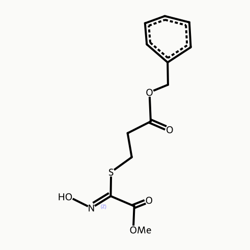 COC(=O)/C(=N/O)SCCC(=O)OCc1ccccc1